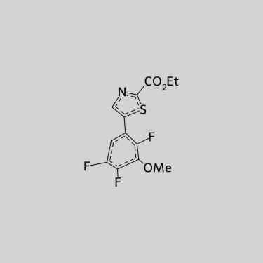 CCOC(=O)c1ncc(-c2cc(F)c(F)c(OC)c2F)s1